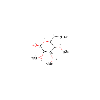 CCCCOC1C(O)OC(CNC(C)=O)C(OCCCC)C1OCCCC